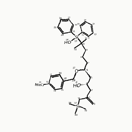 C=C(C[C@H](O)C[C@H](CCCC(C)(C)[Si](O)(c1ccccc1)c1ccccc1)OCc1ccc(OC)cc1)C[Si](C)(C)C